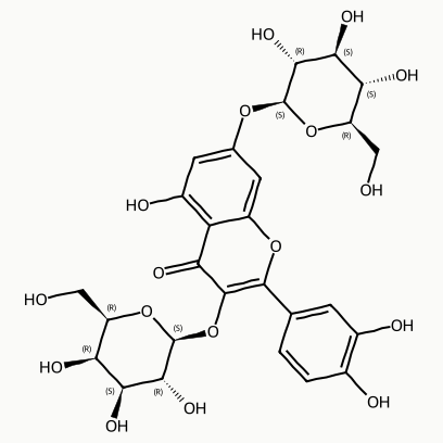 O=c1c(O[C@@H]2O[C@H](CO)[C@H](O)[C@H](O)[C@H]2O)c(-c2ccc(O)c(O)c2)oc2cc(O[C@@H]3O[C@H](CO)[C@@H](O)[C@H](O)[C@H]3O)cc(O)c12